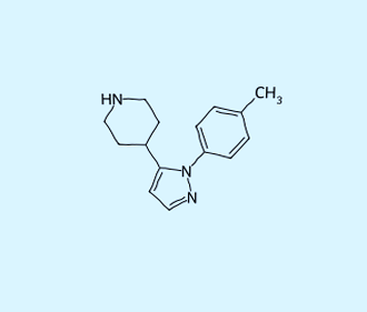 Cc1ccc(-n2nccc2C2CCNCC2)cc1